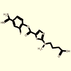 CN(CCCC(=O)O)c1ncc(C(=O)Oc2ccc(C(=N)N)cc2F)s1